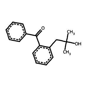 CC(C)(O)Cc1ccccc1C(=O)c1ccccc1